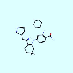 CC1(C)CCc2c(Cc3cccnc3)nn(-c3ccc(C(N)=O)c(N[C@H]4CC[C@H](O)CC4)c3)c2C1